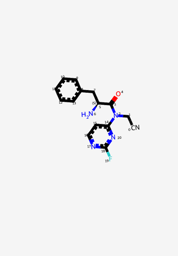 N#CCN(C(=O)[C@@H](N)Cc1ccccc1)c1ccnc(F)n1